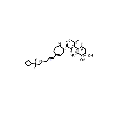 C[C@H](Cl)[C@@H](NC(=O)[C@@H]1CC=C(/C=C/CNCC(F)(F)C2CCC2)CCN1)[C@@H]1[C@H](O)[C@@H](O)[C@@H](O)C[SH]1C